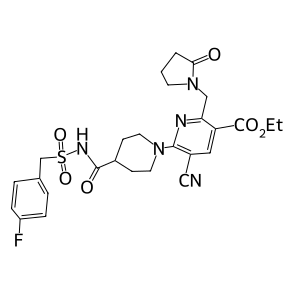 CCOC(=O)c1cc(C#N)c(N2CCC(C(=O)NS(=O)(=O)Cc3ccc(F)cc3)CC2)nc1CN1CCCC1=O